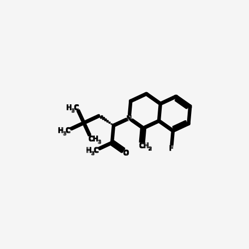 C=C1C2C(F)=CC=CC2CCN1[C@@H](CC(C)(C)C)C(C)=O